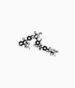 CC(C)OC(=O)[C@H](Cc1ccc(-n2c(=O)c3ccncc3n(C)c2=O)cc1)NC(=O)c1cc(F)c(NS(=O)(=O)c2ccc(C(=O)NC(C)(C)CO)cc2)cc1F